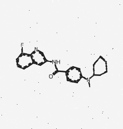 CN(c1ccc(C(=O)Nc2cnc3c(F)cccc3c2)cc1)C1CCCCC1